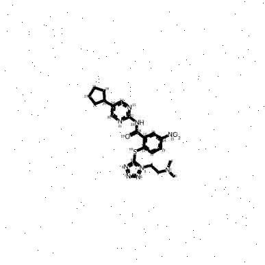 CN(C)CCn1nnnc1Sc1ccc([N+](=O)[O-])cc1C(=O)Nc1ncc(C2CCCC2)cn1